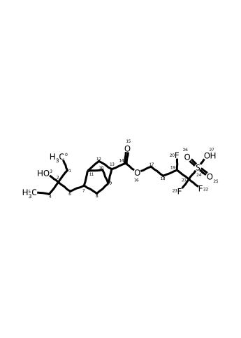 CCC(O)(CC)CC1CC2CC1CC2C(=O)OCCC(F)C(F)(F)S(=O)(=O)O